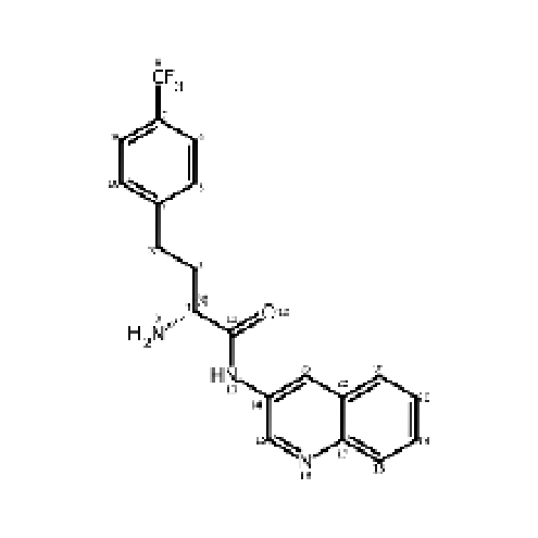 N[C@H](CCc1ccc(C(F)(F)F)cc1)C(=O)Nc1cnc2ccccc2c1